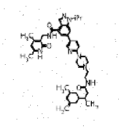 C=C1CC(C)CC(C(C)CC(=O)NCCN2CCN(c3ccc(-c4cc(C(=O)NCc5c(C)cc(C)[nH]c5=O)c5cnn(C(C)C)c5c4)cn3)CC2)C1